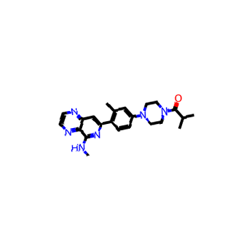 CNc1nc(-c2ccc(N3CCN(C(=O)C(C)C)CC3)cc2C)cc2nccnc12